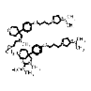 CN(C)C(=O)N(C)CC1(c2ccc(OCCCN3CC[C@@H](N(C)C)C3)cc2)CCOCC1.COCCN(C)CC1(c2ccc(OCCCN3CC[C@@H](N(C)C)C3)cc2)CCOCC1